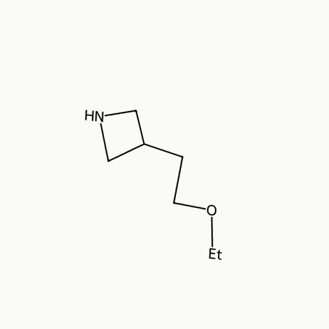 CCOCCC1CNC1